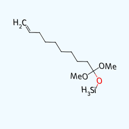 C=CCCCCCCCC(OC)(OC)O[SiH3]